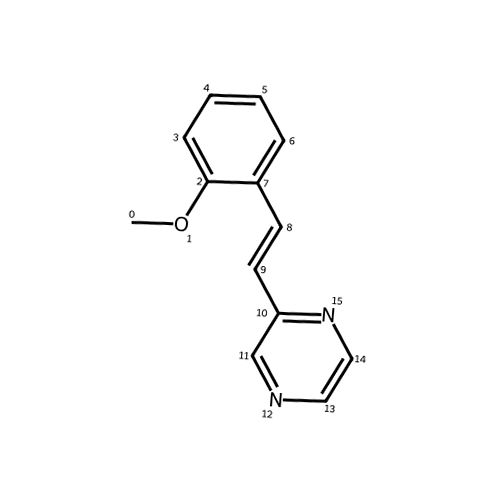 COc1ccccc1C=Cc1cnccn1